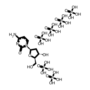 Nc1ccn([C@H]2C[C@H](O)[C@@H](CO)O2)c(=O)n1.O=P(O)(O)O.O=P(O)(O)O.O=P(O)(O)O.O=P(O)(O)O.O=P(O)(O)O.O=P(O)(O)O